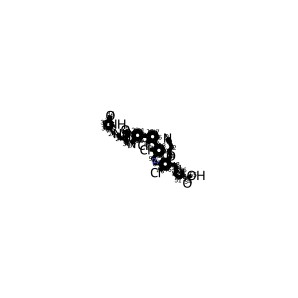 N#CCCOc1cc(/C=C\c2cccc(-c3cccc(-c4ccn5c(=O)c(CNC[C@H]6CCC(=O)N6)cnc5c4)c3Cl)c2Cl)c(Cl)cc1CN1CC[C@@H](C(=O)O)C1